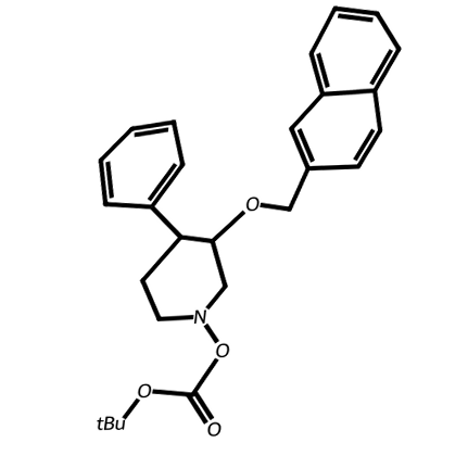 CC(C)(C)OC(=O)ON1CCC(c2ccccc2)C(OCc2ccc3ccccc3c2)C1